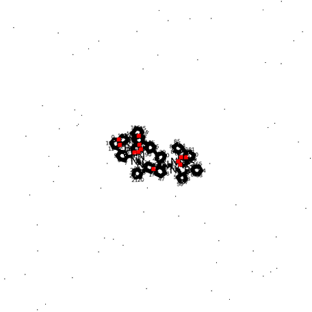 c1ccc(-c2cccc(-c3nc(-n4c5ccccc5c5ccccc54)nc(-n4c5ccccc5c5ccc(-c6ccc7c(c6)c6ccccc6n7-c6nc(-c7ccccc7B7c8ccccc8Sc8ccccc87)nc(-n7c8ccccc8c8ccccc87)n6)cc54)n3)c2B2c3ccccc3N(c3ccccc3)c3ccccc32)cc1